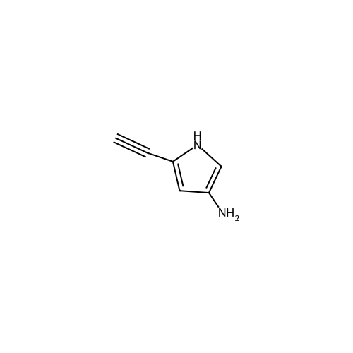 C#Cc1cc(N)c[nH]1